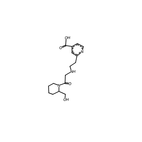 O=C(O)c1ccnc(CCNCC(=O)N2CCCCC2CO)c1